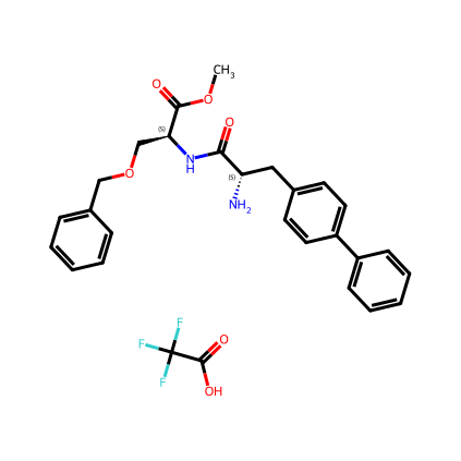 COC(=O)[C@H](COCc1ccccc1)NC(=O)[C@@H](N)Cc1ccc(-c2ccccc2)cc1.O=C(O)C(F)(F)F